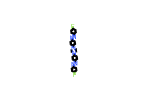 Fc1ccc(/N=N/c2ccc(N3CCN(c4ccc(/N=N/c5ccc(F)cc5)cc4)CC3)cc2)cc1